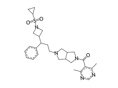 Cc1ncnc(C)c1C(=O)N1CC2CN(CCC(c3ccccc3)C3CN(S(=O)(=O)C4CC4)C3)CC2C1